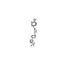 FC(F)(F)c1nc(-c2ccc(COc3ccc(Br)nn3)cc2)no1